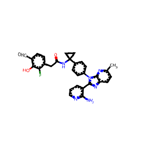 Cc1ccc2nc(-c3cccnc3N)n(-c3ccc(C4(NC(=O)Cc5ccc(C=O)c(O)c5F)CC4)cc3)c2n1